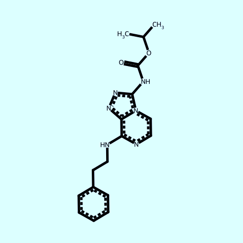 CC(C)OC(=O)Nc1nnc2c(NCCc3ccccc3)nccn12